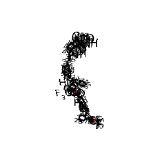 CC1(C)CCC(CN2CCN(c3ccc(C(=O)NS(=O)(=O)c4ccc(N[C@H](CCN5CCN(CCCCCNc6cccc7c6C(=O)N(C6CCC(=O)NC6=O)C7=O)CC5)CSc5ccccc5)cc4S(=O)(=O)C(F)(F)F)cc3)CC2)=C(C23CC(C(F)F)(C2)C3)C1